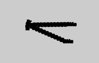 COCCOOCCOOCCOOCCOOCCOOCCOOCCOOCCOOCCOOCCOOCCOCCCC1(CCCOCCOOCCOOCCOOCCOOCCOOCCOOCCOOCCOOCCOOCCOOCCOC)c2cc(Br)ccc2-c2ccc(Br)cc21